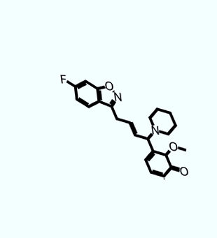 COC1C(=O)[C]=CC=C1C(C=CCc1noc2cc(F)ccc12)N1CCCCC1